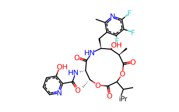 Cc1nc(F)c(F)c(F)c1C[C@@H]1NC(=O)[C@@H](NC(=O)c2ncccc2O)[C@@H](C)OC(=O)C(C(C)C(C)C)OC(=O)[C@H](C)[C@@H]1O